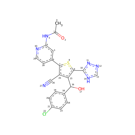 CC(=O)Nc1cc(-c2sc(-c3nnc[nH]3)c(C(O)c3ccc(Cl)cc3)c2C#N)ccn1